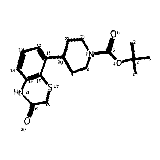 CC(C)(C)OC(=O)N1CCC(c2cccc3c2SCC(=O)N3)CC1